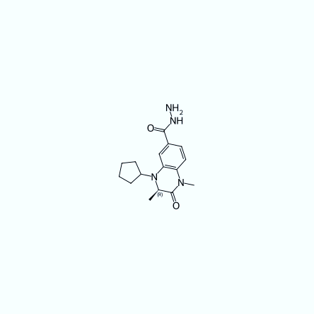 C[C@@H]1C(=O)N(C)c2ccc(C(=O)NN)cc2N1C1CCCC1